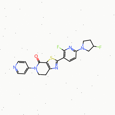 O=C1c2sc(-c3ccc(N4CCC(F)C4)nc3F)nc2CCN1c1ccncc1